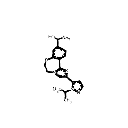 CC(C)n1nccc1-c1cn2c(n1)-c1ccc(C(N)O)cc1OCC2